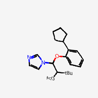 CC(=O)OC(C(Oc1ccccc1C1CCCC1)n1ccnc1)C(C)(C)C